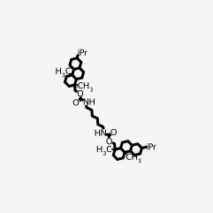 CC(C)C1CCC2C(CCC3[C@@](C)(COC(=O)NCCCCCCNC(=O)OC[C@]4(C)CCC[C@]5(C)C6CCC(C(C)C)CC6CCC45)CCC[C@@]23C)C1